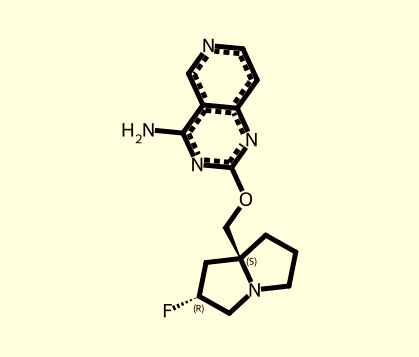 Nc1nc(OC[C@@]23CCCN2C[C@H](F)C3)nc2ccncc12